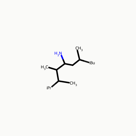 CCC(C)C(C)CC(N)C(C)C(C)C(C)C